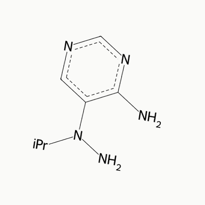 CC(C)N(N)c1cncnc1N